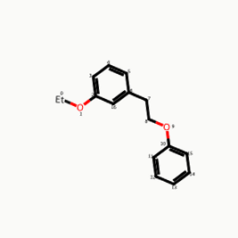 CCOc1cccc(CCOc2[c]cccc2)c1